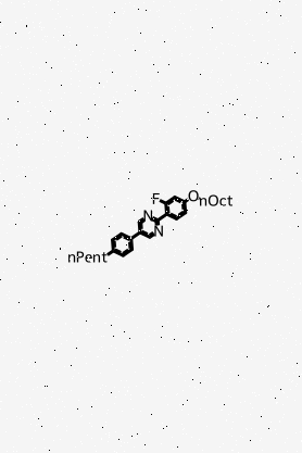 CCCCCCCCOc1ccc(-c2ncc(-c3ccc(CCCCC)cc3)cn2)c(F)c1